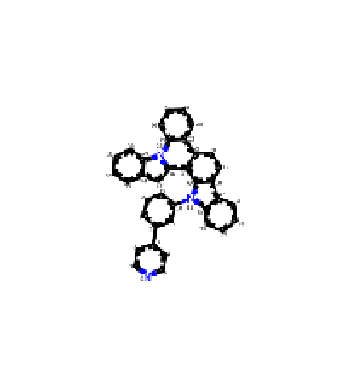 c1cc(-c2ccncc2)cc(-n2c3ccccc3c3ccc4c5ccccc5n5c6ccccc6cc5c4c32)c1